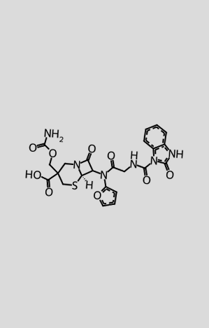 NC(=O)OCC1(C(=O)O)CS[C@@H]2C(N(C(=O)CNC(=O)n3c(=O)[nH]c4ccccc43)c3ccco3)C(=O)N2C1